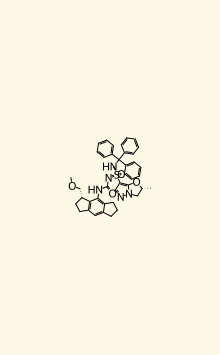 COC[C@H]1CCc2cc3c(c(NC(=O)N=[S@@](=O)(NC(c4ccccc4)(c4ccccc4)c4ccccc4)c4cnn5c4O[C@H](C)C5)c21)CCC3